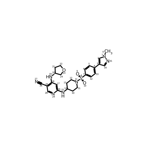 Cn1cc(-c2ccc(S(=O)(=O)N3CCC(Nc4cc(N[C@H]5CCOC5)c(C#N)cn4)CC3)cc2)cn1